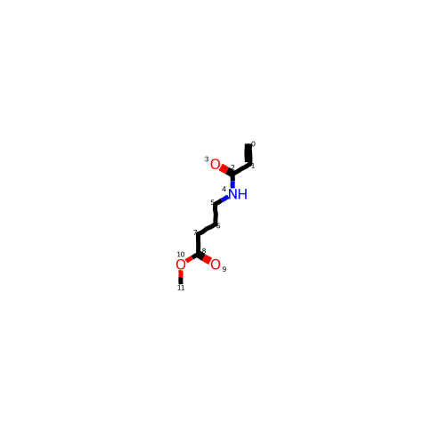 C=CC(=O)NCCCC(=O)OC